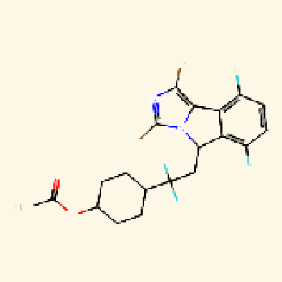 CC(=O)OC1CCC(C(F)(F)CC2c3c(F)ccc(F)c3-c3c(Br)nc(Br)n32)CC1